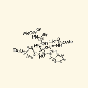 COC(=O)N[C@H](C(=O)NC(Cc1ccccc1)C(O)CN(Cc1ccc(OCC(C)C)cc1)NC(=O)[C@@H](NC(=O)OC)C(C)C)C(C)C